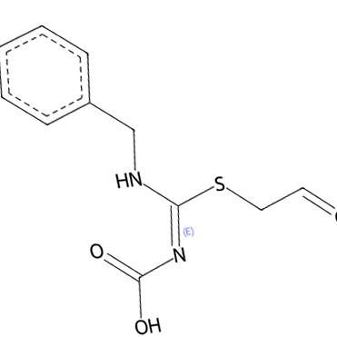 O=CCS/C(=N/C(=O)O)NCc1ccccc1